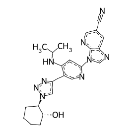 CC(C)Nc1cc(-n2cnc3cc(C#N)cnc32)ncc1-c1cn([C@@H]2CCCC[C@H]2O)nn1